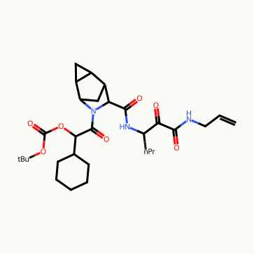 C=CCNC(=O)C(=O)C(CCC)NC(=O)C1C2CC(C3CC32)N1C(=O)C(OC(=O)OC(C)(C)C)C1CCCCC1